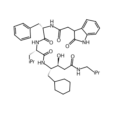 CC(C)CNC(=O)C[C@H](O)[C@H](CC1CCCCC1)NC(=O)[C@H](CC(C)C)NC(=O)[C@H](Cc1ccccc1)NC(=O)CC1C(=O)Nc2ccccc21